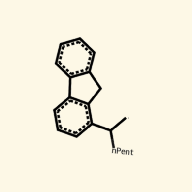 [CH2]C(CCCCC)c1cccc2c1Cc1ccccc1-2